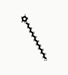 C1CCCC1.CCCCCCCCCCCCCCCCCC